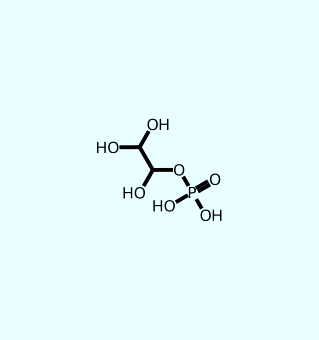 O=P(O)(O)OC(O)C(O)O